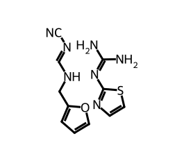 N#CN=CNCc1ccco1.NC(N)=Nc1nccs1